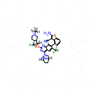 [2H]C([2H])([2H])N1CC[C@H](C(F)F)[C@](C)(C([2H])([2H])Oc2nc(N3C[C@H]4CC[C@@H](C3)N4)c3cc(C(F)(F)F)c(-c4cccc5sc(N)c(C#N)c45)c(F)c3n2)C1